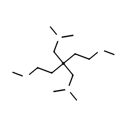 COCCC(CCOC)(CP(C)C)CP(C)C